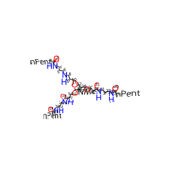 CCCCCC(=O)NCCCNCCCOCC(COCCC(=O)NCCCNC(=O)CCCCC)(COCCC(=O)NCCCNC(=O)CCCCC)NC